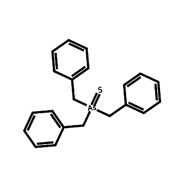 S=[As](Cc1ccccc1)(Cc1ccccc1)Cc1ccccc1